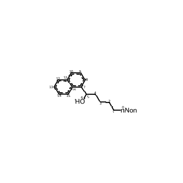 CCCCCCCCCCCCCC(O)c1cccc2ccccc12